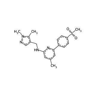 Cc1cc(NCc2cnn(C)c2C)nc(-c2ccc(S(C)(=O)=O)cc2)c1